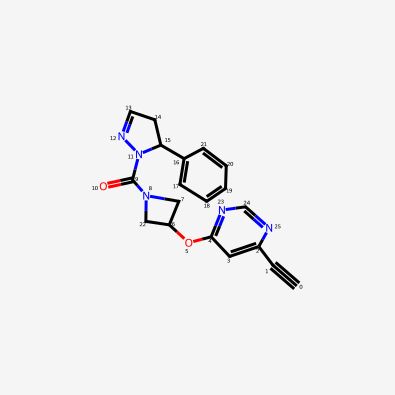 C#Cc1cc(OC2CN(C(=O)N3N=CCC3c3ccccc3)C2)ncn1